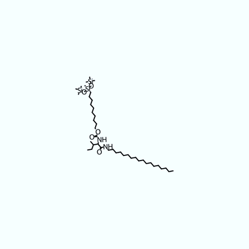 CCCCCCCCCCCCCCCCCCNC(=O)C(NC(=O)OCCCCCCCCCC[Si](C)(O[Si](C)(C)C)O[Si](C)(C)C)C(C)CC